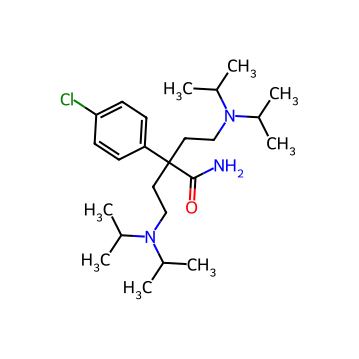 CC(C)N(CCC(CCN(C(C)C)C(C)C)(C(N)=O)c1ccc(Cl)cc1)C(C)C